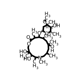 CO[C@]1(C)C[C@H](OC2C(C)CC(C)(O)CC(C)CN(C)C(C)C(O)C(C)(O)COC(=O)C2C)O[C@@H](C)[C@@H]1O